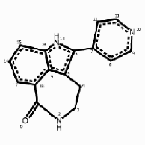 O=C1NCCc2c(-c3ccncc3)[nH]c3cccc1c23